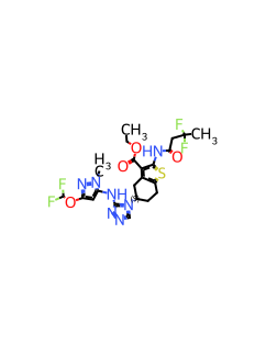 CCOC(=O)c1c(NC(=O)CC(C)(F)F)sc2c1C[C@@H](n1cnnc1Nc1cc(OC(F)F)nn1C)CC2